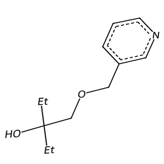 CCC(O)(CC)COCc1cccnc1